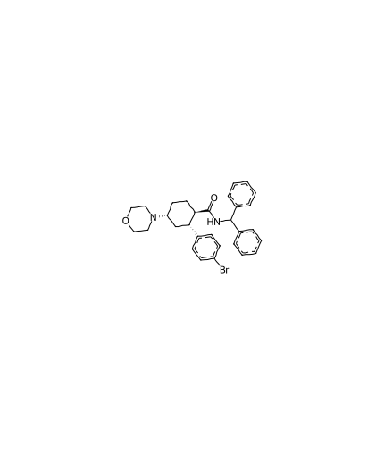 O=C(NC(c1ccccc1)c1ccccc1)[C@@H]1CC[C@@H](N2CCOCC2)C[C@H]1c1ccc(Br)cc1